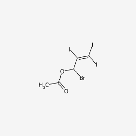 CC(=O)OC(Br)C(I)=C(I)I